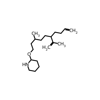 C=CCCC(CCC(C)CCOC1CCCCN1)C(=C)C